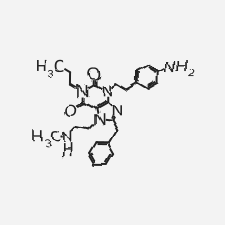 CCCn1c(=O)c2c(nc(Cc3ccccc3)n2CCNC)n(CCc2ccc(N)cc2)c1=O